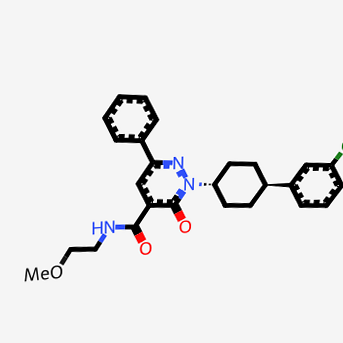 COCCNC(=O)c1cc(-c2ccccc2)nn([C@H]2CC[C@H](c3cccc(Cl)c3)CC2)c1=O